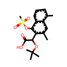 Cc1cc2c(C)cccc2c(OS(C)(=O)=O)c1C(OC(C)(C)C)C(=O)O